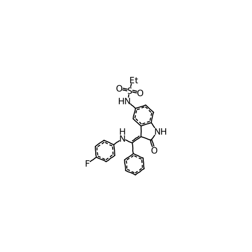 CCS(=O)(=O)Nc1ccc2c(c1)C(=C(Nc1ccc(F)cc1)c1ccccc1)C(=O)N2